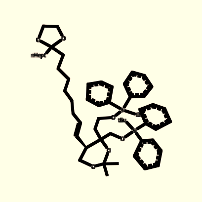 CCCCCCCC1(CCCCCC/C=C/[C@@H]2COC(C)(C)OC2(CCO[Si](c2ccccc2)(c2ccccc2)C(C)(C)C)CO[Si](c2ccccc2)(c2ccccc2)C(C)(C)C)OCCO1